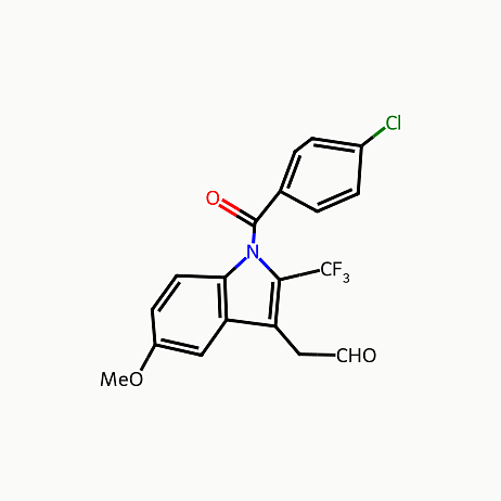 COc1ccc2c(c1)c(CC=O)c(C(F)(F)F)n2C(=O)c1ccc(Cl)cc1